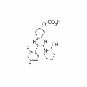 C[C@H]1CCCCN1c1nc2cc(OC(=O)O)ccc2nc1-c1ccc(F)cc1F